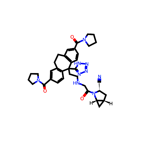 N#C[C@@H]1C[C@@H]2C[C@@H]2N1C(=O)CNCCC1(c2nnn[nH]2)c2ccc(C(=O)N3CCCC3)cc2CCc2cc(C(=O)N3CCCC3)ccc21